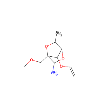 BC1OC2(COC)C(N)OC1C2OC=C